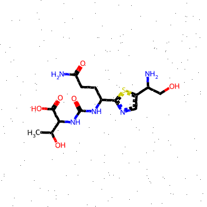 CC(O)C(NC(=O)NC(CCC(N)=O)c1ncc(C(N)CO)s1)C(=O)O